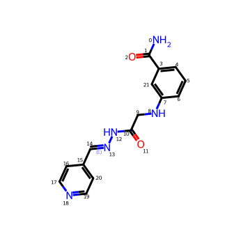 NC(=O)c1cccc(NCC(=O)N/N=C/c2ccncc2)c1